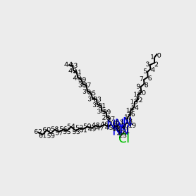 CCCCCCCCCCCCCCCCCCN(C)c1nc(Cl)nc(N(CCCCCCCCCCCCCCCCCC)CCCCCCCCCCCCCCCCCC)n1